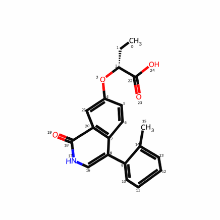 CC[C@@H](Oc1ccc2c(-c3ccccc3C)c[nH]c(=O)c2c1)C(=O)O